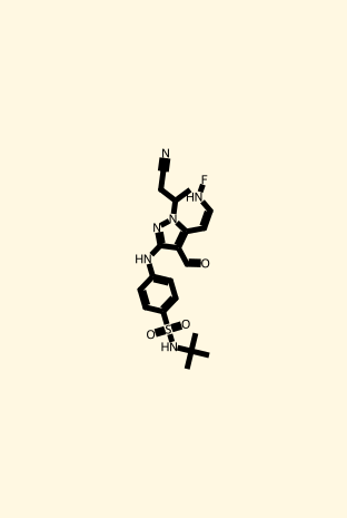 CC(CC#N)n1nc(Nc2ccc(S(=O)(=O)NC(C)(C)C)cc2)c(C=O)c1/C=C\NF